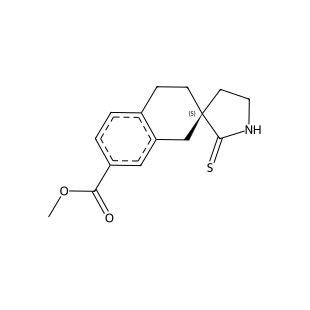 COC(=O)c1ccc2c(c1)C[C@]1(CCNC1=S)CC2